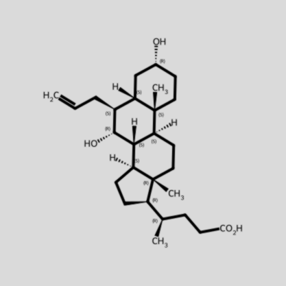 C=CC[C@@H]1[C@@H](O)[C@@H]2[C@H](CC[C@]3(C)[C@@H]([C@H](C)CCC(=O)O)CC[C@@H]23)[C@@]2(C)CC[C@@H](O)C[C@@H]12